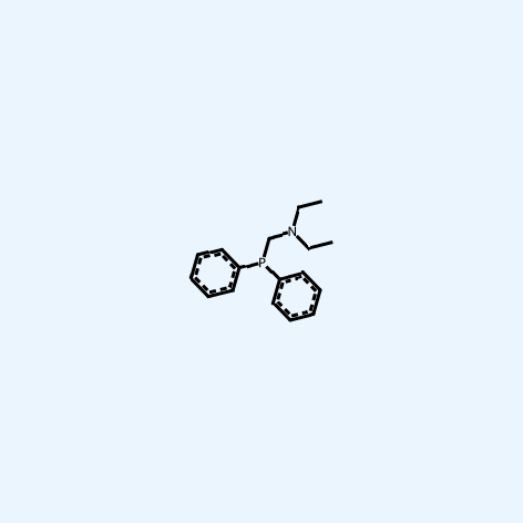 CCN(CC)CP(c1ccccc1)c1ccccc1